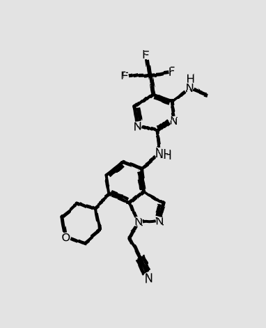 CNc1nc(Nc2ccc(C3CCOCC3)c3c2cnn3CC#N)ncc1C(F)(F)F